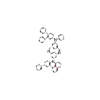 c1ccc(-c2ccc(N(c3ccccc3)c3cc4ncc5cc(N(c6ccccc6)c6ccc(-c7ccccc7)c(-c7ccccc7)c6)cc6cnc(c3)c4c56)c(-c3ccccc3)c2)cc1